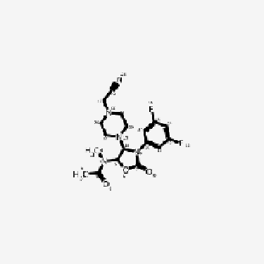 CC(=O)N(C)C1OC(=O)N(c2cc(F)cc(F)c2)C1N1CCN(CC#N)CC1